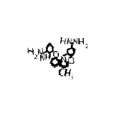 Cc1cc(=O)n(Cc2cccc(C(=N)N)c2)c2c(Oc3cccc(C(=N)N)c3)cccc12